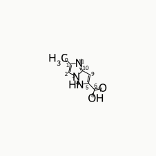 Cc1cn2[nH]c(C(=O)O)cc2n1